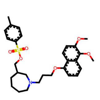 COc1ccc2c(OCCCN3CCCCC(COS(=O)(=O)c4ccc(C)cc4)C3)cccc2c1OC